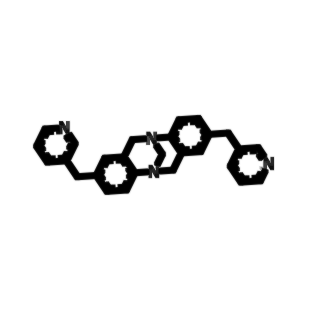 c1cncc(Cc2ccc3c(c2)CN2CN3Cc3cc(Cc4cccnc4)ccc32)c1